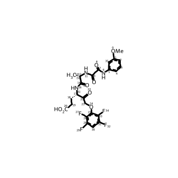 COc1cccc(NC(=O)C(=O)N[C@@H](C)C(=O)N[C@@H](CCC(=O)O)C(=O)COc2c(F)c(F)cc(F)c2F)c1